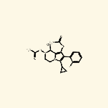 CC(C)(C)C1c2c(OC(N)=O)c(-c3ccccc3F)c(C3CC3)n2CCN1OC(N)=O